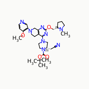 COc1ccncc1N1CCc2c(nc(OC[C@@H]3CCCN3C)nc2N2CCN(C(=O)OC(C)(C)C)[C@@H](CC#N)C2)C1